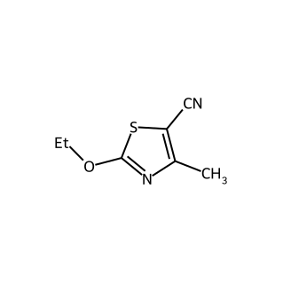 CCOc1nc(C)c(C#N)s1